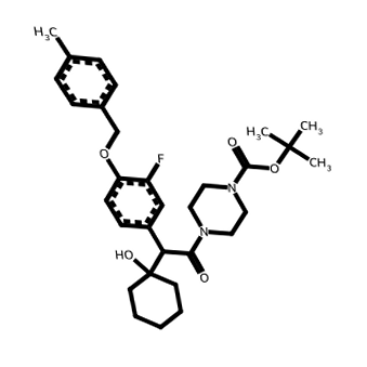 Cc1ccc(COc2ccc(C(C(=O)N3CCN(C(=O)OC(C)(C)C)CC3)C3(O)CCCCC3)cc2F)cc1